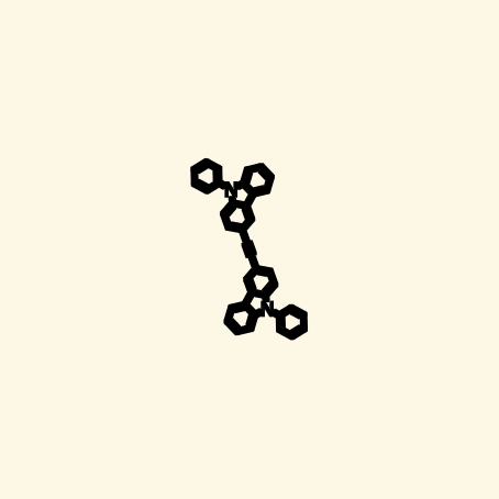 C(#Cc1ccc2c(c1)c1ccccc1n2-c1ccccc1)c1ccc2c(c1)c1ccccc1n2-c1ccccc1